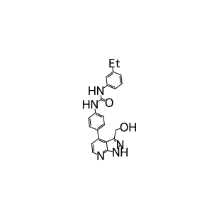 CCc1cccc(NC(=O)Nc2ccc(-c3ccnc4[nH]nc(CO)c34)cc2)c1